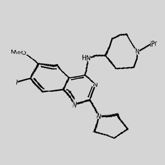 COc1cc2c(NC3CCN(C(C)C)CC3)nc(N3CCCC3)nc2cc1I